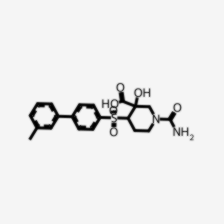 Cc1cccc(-c2ccc(S(=O)(=O)C3CCN(C(N)=O)CC3(O)C(=O)O)cc2)c1